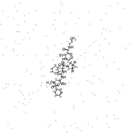 C=CCNC(=O)C(=O)C(CC)NC(=O)[C@@H]1[C@H]2C[C@H]2CN1C(=O)[C@@H](NC(=O)N[C@H](CN(C)S(=O)(=O)c1cccnc1)C(C)(C)C)C1(C)CCCCC1